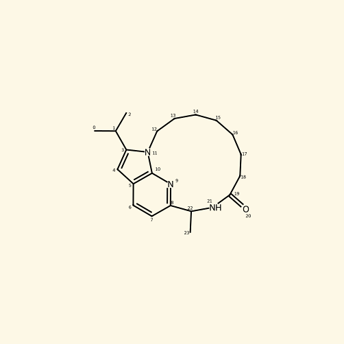 CC(C)c1cc2ccc3nc2n1CCCCCCCC(=O)NC3C